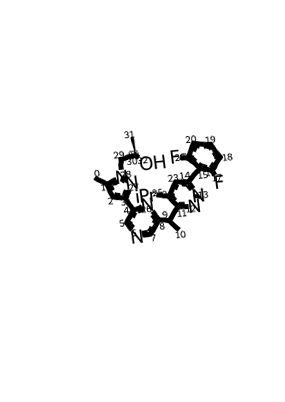 Cc1cc(-c2cncc(C(C)c3nnc(-c4c(F)cccc4F)cc3C(C)C)n2)nn1C[C@@H](C)O